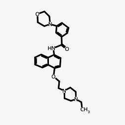 CCN1CCN(CCOc2ccc(NC(=O)c3cccc(N4CCOCC4)c3)c3ccccc23)CC1